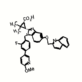 COc1ccc(-c2ccc(Cn3c([C@H]4[C@@H](C(=O)O)C4(C)C)nc4cc(OCc5ccc6ccccc6n5)ccc43)c(F)c2)cn1